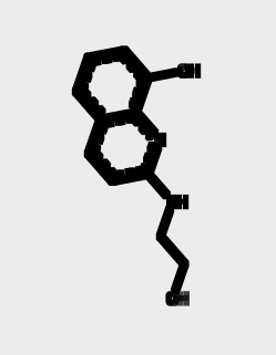 OCCNc1ccc2cccc(O)c2n1